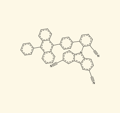 N#Cc1ccc2c(c1)c1cc(C#N)ccc1n2-c1c(C#N)cccc1-c1ccc(-c2c3ccccc3c(-c3ccccc3)c3ccccc23)cc1